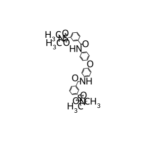 CN(C)S(=O)(=O)c1cccc(C(=O)Nc2ccc(Oc3ccc(NC(=O)c4cccc(S(=O)(=O)N(C)C)c4)cc3)cc2)c1